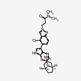 CN(C)C(=O)CCn1cc2c(Cl)c(-c3c[nH]c4nc(N5[C@@H]6CC[C@H]5C[C@@H](N)C6)cnc34)ccc2n1